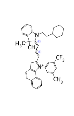 Cc1cc([N+]2=C(/C=C/C=C3/N(CCC4CCCCC4)c4ccccc4C3(C)C)Cc3ccc4ccccc4c32)cc(C(F)(F)F)c1